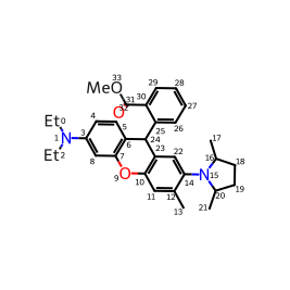 CCN(CC)c1ccc2c(c1)Oc1cc(C)c(N3C(C)CCC3C)cc1C2c1ccccc1C(=O)OC